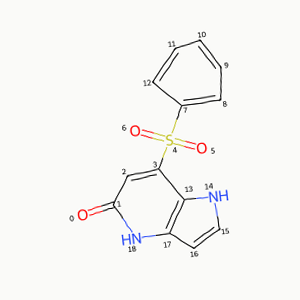 O=c1cc(S(=O)(=O)c2ccccc2)c2[nH]ccc2[nH]1